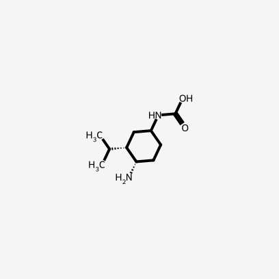 CC(C)[C@@H]1CC(NC(=O)O)CC[C@@H]1N